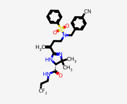 C=C(CCN(Cc1ccc(C#N)cc1)S(=O)(=O)c1ccccc1)C1=NC(C)(C)[C@H](C(=O)NCCC(F)(F)F)N1